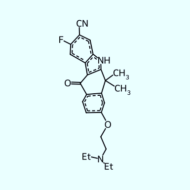 CCN(CC)CCOc1ccc2c(c1)C(C)(C)c1[nH]c3cc(C#N)c(F)cc3c1C2=O